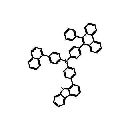 c1ccc(-c2c(-c3ccc(N(c4ccc(-c5cccc6ccccc56)cc4)c4ccc(-c5cccc6c5sc5ccccc56)cc4)cc3)c3ccccc3c3ccccc23)cc1